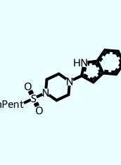 CCCCCS(=O)(=O)N1CCN(c2cc3ccccc3[nH]2)CC1